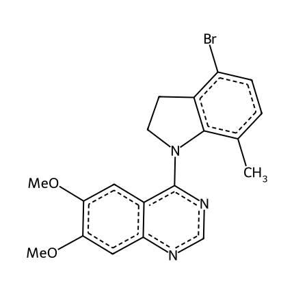 COc1cc2ncnc(N3CCc4c(Br)ccc(C)c43)c2cc1OC